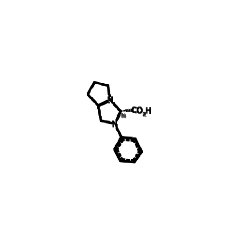 O=C(O)[C@@H]1N(c2ccccc2)CC2CCCN21